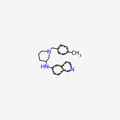 Cc1ccc(CN2CCCC(Nc3ccc4cnccc4c3)C2)cc1